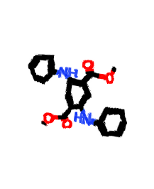 COC(=O)c1cc(Nc2ccccc2)c(C(=O)OC)cc1Nc1ccccc1